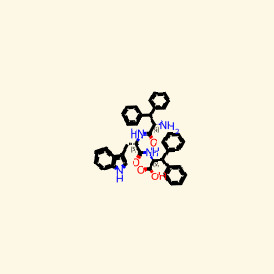 N[C@H](C(=O)N[C@@H](Cc1c[nH]c2ccccc12)C(=O)N[C@H](C(=O)O)C(c1ccccc1)c1ccccc1)C(c1ccccc1)c1ccccc1